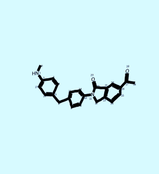 CNc1ccc(Cc2ccc(N3Cc4ccc(C(C)=O)cc4C3=O)cc2)cc1